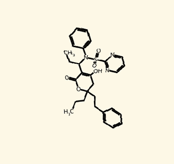 CCCC1(CCc2ccccc2)CC(O)=C(C(CC)N(c2ccccc2)S(=O)(=O)c2ncccn2)C(=O)O1